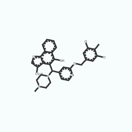 Cc1c(Cl)cc(COc2cc(C(c3c(O)c4ccccc4c4occ(C(=O)O)c34)N3CCN(C)CC3)ccn2)cc1Cl